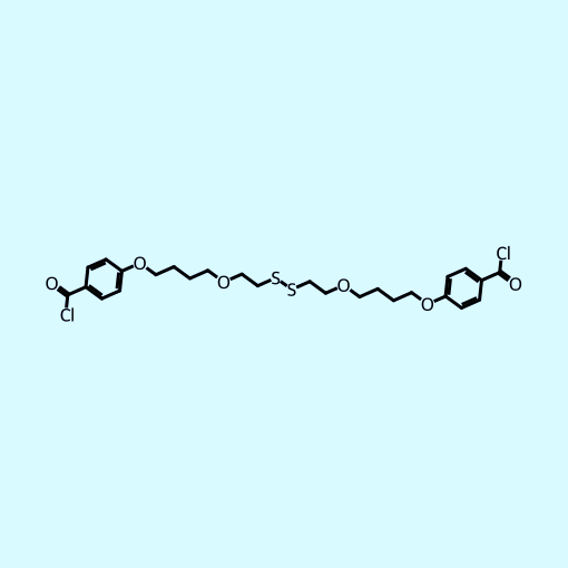 O=C(Cl)c1ccc(OCCCCOCCSSCCOCCCCOc2ccc(C(=O)Cl)cc2)cc1